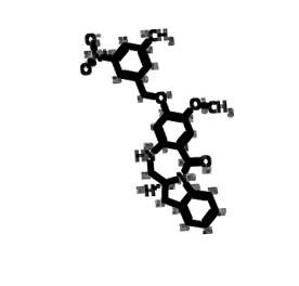 COc1cc2c(cc1OCc1cc(C)cc([N+](=O)[O-])c1)NC[C@@H]1Cc3ccccc3N1C2=O